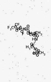 C=C(Nc1ccccc1-c1ccccc1)OC1CCN(CCN(C)C(=O)CCCCCNCc2cccc(C(=O)N(C)CCCN(C)C(=O)CO[C@H]3Cc4ccccc4C34CCN(CC[C@@]3(c5ccc(F)cc5)CN(C(=O)c5cc(C(F)(F)F)cc(C(F)(F)F)c5)CO3)CC4)c2)CC1